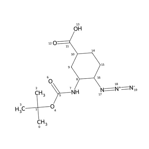 CC(C)(C)OC(=O)NC1CC(C(=O)O)CCC1N=[N+]=[N-]